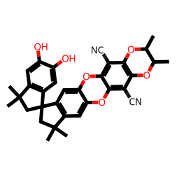 CC1Oc2c(C#N)c3c(c(C#N)c2OC1C)Oc1cc2c(cc1O3)C(C)(C)CC21CC(C)(C)c2cc(O)c(O)cc21